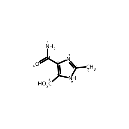 Cc1nc(C(N)=O)c(C(=O)O)[nH]1